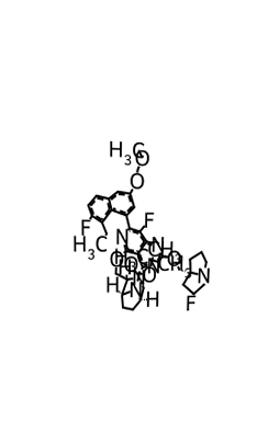 CCc1c(F)ccc2cc(OCOC)cc(-c3nc4c5c(nc(OC[C@]67CCCN6C[C@@H](F)C7)nc5c3F)N3C[C@H]5CC[C@@H]([C@@H]3CO4)N5C(=O)OC(C)(C)C)c12